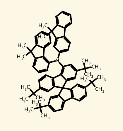 CC(C)(C)c1ccc2c(c1)C1(c3cc(C(C)(C)C)ccc3-2)c2cc(C(C)(C)C)ccc2-c2c(N(c3ccc4c(c3)C(C)(C)c3ccccc3-4)c3cccc4c3-c3ccccc3C4(C)C)cc(C(C)(C)C)cc21